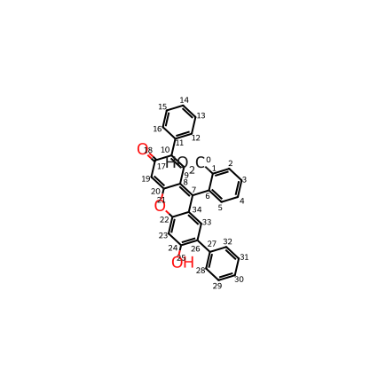 O=C(O)c1ccccc1-c1c2cc(-c3ccccc3)c(=O)cc-2oc2cc(O)c(-c3ccccc3)cc12